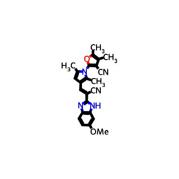 COc1ccc2nc(C(C#N)=Cc3cc(C)n(-c4oc(C)c(C)c4C#N)c3C)[nH]c2c1